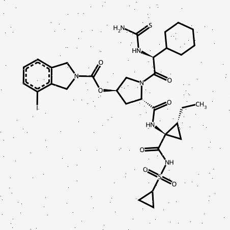 CC[C@@H]1C[C@]1(NC(=O)[C@@H]1C[C@@H](OC(=O)N2Cc3cccc(I)c3C2)CN1C(=O)[C@@H](NC(N)=S)C1CCCCC1)C(=O)NS(=O)(=O)C1CC1